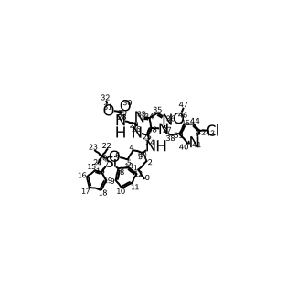 CCC[C@@H](CCO[Si](c1ccccc1)(c1ccccc1)C(C)(C)C)Nc1nc(NC(=O)OC)nc2cnn(Cc3cnc(Cl)cc3OC)c12